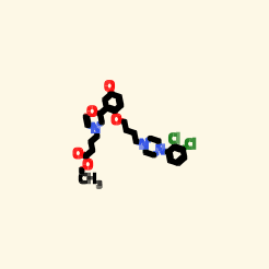 CCOC(=O)CCCN1C=COC(C2=C(OCCCCN3CCN(c4cccc(Cl)c4Cl)CC3)C=CC(=O)C2)C1